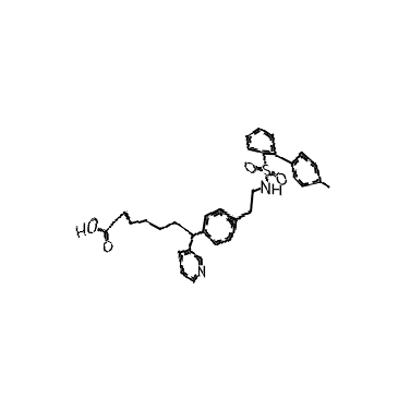 Cc1ccc(-c2ccccc2S(=O)(=O)NCCc2ccc(C(CCCCCC(=O)O)c3cccnc3)cc2)cc1